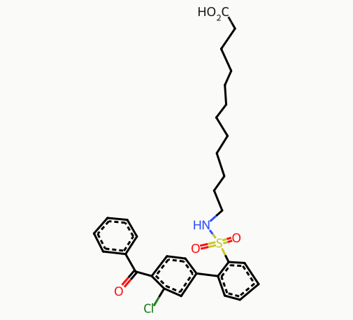 O=C(O)CCCCCCCCCCCNS(=O)(=O)c1ccccc1-c1ccc(C(=O)c2ccccc2)c(Cl)c1